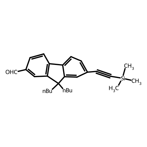 CCCCC1(CCCC)c2cc(C#C[Si](C)(C)C)ccc2-c2ccc(C=O)cc21